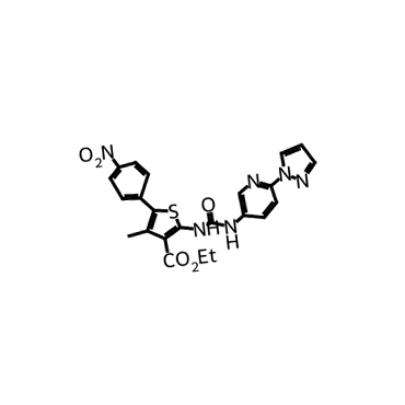 CCOC(=O)c1c(NC(=O)Nc2ccc(-n3cccn3)nc2)sc(-c2ccc([N+](=O)[O-])cc2)c1C